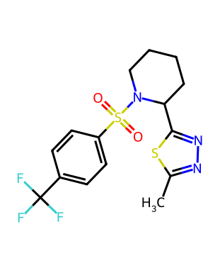 Cc1nnc(C2CCCCN2S(=O)(=O)c2ccc(C(F)(F)F)cc2)s1